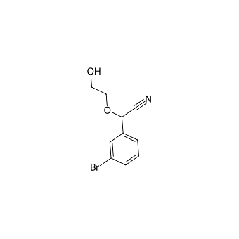 N#CC(OCCO)c1cccc(Br)c1